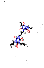 C=CCn1c(=O)n(CC=C)c(=O)n(CCCCn2c(=O)n(CC=C)c(=O)n(CC=C)c2=O)c1=O